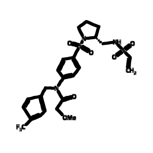 C=CS(=O)(=O)NC[C@H]1CCCN1S(=O)(=O)c1ccc(N(Cc2ccc(C(F)(F)F)cc2)C(=O)COC)cc1